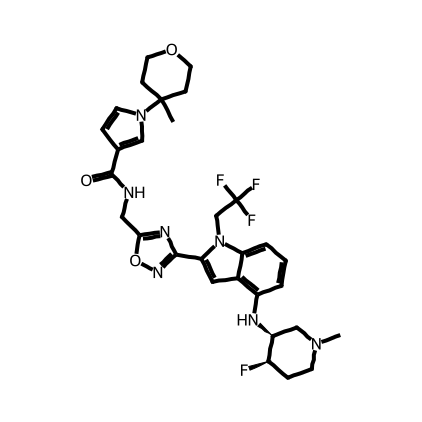 CN1CC[C@@H](F)[C@@H](Nc2cccc3c2cc(-c2noc(CNC(=O)c4ccn(C5(C)CCOCC5)c4)n2)n3CC(F)(F)F)C1